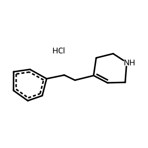 C1=C(CCc2ccccc2)CCNC1.Cl